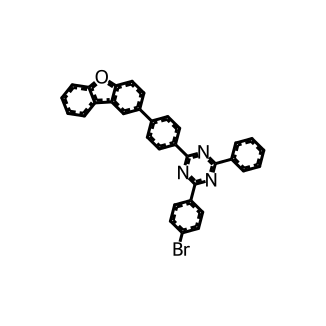 Brc1ccc(-c2nc(-c3ccccc3)nc(-c3ccc(-c4ccc5oc6ccccc6c5c4)cc3)n2)cc1